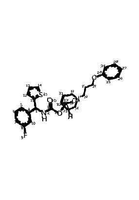 O=C(NC(c1cccc(F)c1)c1cccs1)O[C@H]1C[N+]2(CCCOc3ccccc3)CCC1CC2